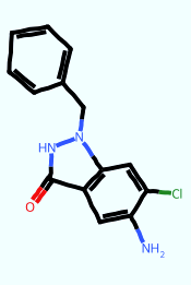 Nc1cc2c(=O)[nH]n(Cc3ccccc3)c2cc1Cl